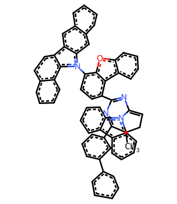 CC1C/C=C(n2c3ccccc3c3ccccc32)/N=C(c2ccc(-n3c4cc5ccccc5cc4c4ccc5ccccc5c43)c3oc4ccccc4c23)\N=C/1c1cccc(-c2ccccc2)c1